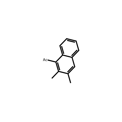 CC(=O)c1c(C)c(C)cc2ccccc12